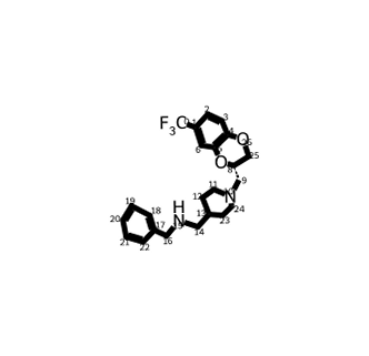 FC(F)(F)c1ccc2c(c1)O[C@@H](CN1CCC(CNCc3ccccc3)CC1)CO2